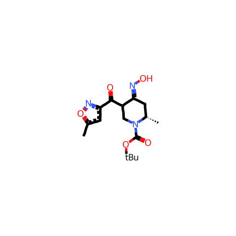 Cc1cc(C(=O)C2CN(C(=O)OC(C)(C)C)[C@@H](C)C/C2=N\O)no1